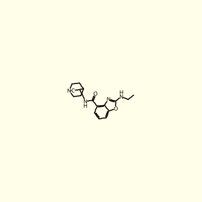 CCNc1nc2c(C(=O)NC3CN4CCC3CC4)cccc2o1